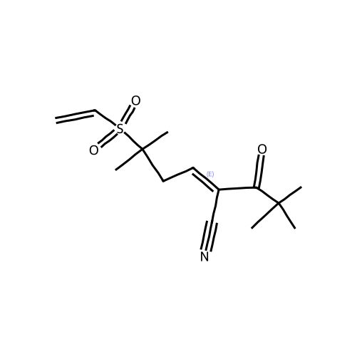 C=CS(=O)(=O)C(C)(C)C/C=C(\C#N)C(=O)C(C)(C)C